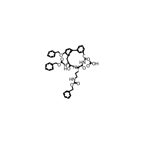 O=C(O)O[C@H]1Cc2cccc(c2)-c2ccc(OCc3ccccc3)c(c2)C[C@H](NC(=O)OCc2ccccc2)C(=O)N[C@@H](CCCNC(=O)OCc2ccccc2)C(=O)N1